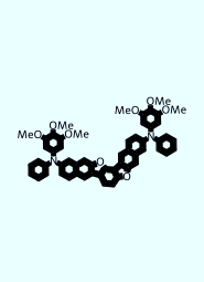 COc1cc(N(c2ccccc2)c2ccc3cc4c(cc3c2)oc2c4ccc3oc4cc5cc(N(c6ccccc6)c6cc(OC)c(OC)c(OC)c6)ccc5cc4c32)cc(OC)c1OC